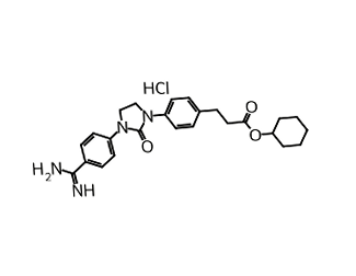 Cl.N=C(N)c1ccc(N2CCN(c3ccc(CCC(=O)OC4CCCCC4)cc3)C2=O)cc1